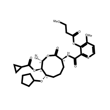 COCCC(=O)Oc1c(OC)ccnc1C(=O)N[C@H]1CCC[C@H](OC2CCCC2)[C@@H](OC(=O)C2CC2)[C@H](C)OC1=O